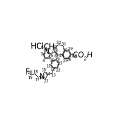 Cl.Cn1cccc1C1=C(c2ccc(CC3CN(CCCF)C3)cc2)c2ccc(C(=O)O)cc2CCC1